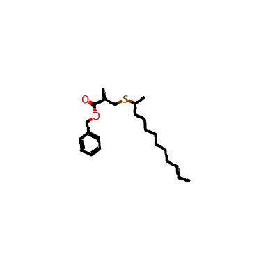 CCCCCCCCCCC(C)SCC(C)C(=O)OCc1ccccc1